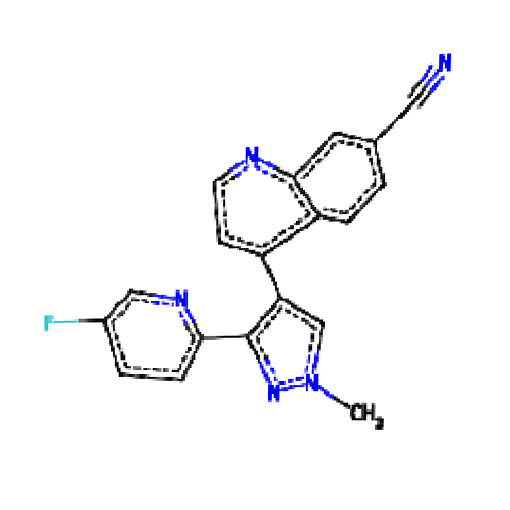 Cn1cc(-c2ccnc3cc(C#N)ccc23)c(-c2ccc(F)cn2)n1